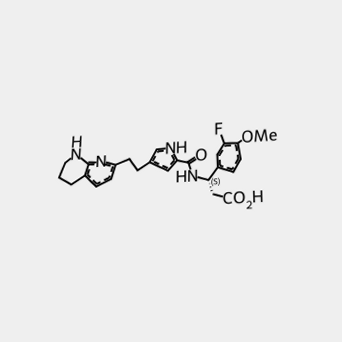 COc1ccc([C@H](CC(=O)O)NC(=O)c2cc(CCc3ccc4c(n3)NCCC4)c[nH]2)cc1F